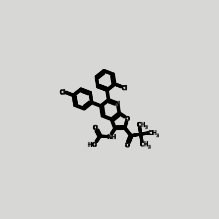 CC(C)(C)C(=O)c1oc2nc(-c3ccccc3Cl)c(-c3ccc(Cl)cc3)cc2c1NC(=O)O